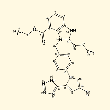 CCOC(=O)c1cccc2c1N(Cc1ccc(-n3cc(Br)cc3-c3nnn[nH]3)cc1)C(OCC)N2